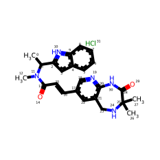 CC(c1cc2ccccc2[nH]1)N(C)C(=O)C=Cc1cnc2c(c1)CNC(C)(C)C(=O)N2.Cl